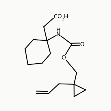 C=CCC1(COC(=O)NC2(CC(=O)O)CCCCC2)CC1